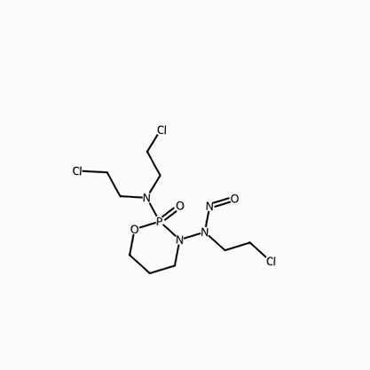 O=NN(CCCl)N1CCCOP1(=O)N(CCCl)CCCl